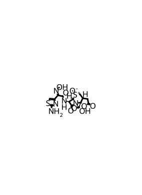 Nc1nc(/C(=N/O)C(=O)N[C@@H]2C(=O)N3[C@@H]2[S@@+]([O-])C[C@@H]2CC(=O)O[C@@]23C(=O)O)cs1